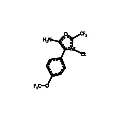 CC[n+]1c(C(F)(F)F)oc(N)c1-c1ccc(OC(F)(F)F)cc1